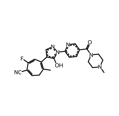 CC1=C(c2cnn(-c3ccc(C(=O)N4CCN(C)CC4)cn3)c2O)C=C(F)C(C#N)=CC1